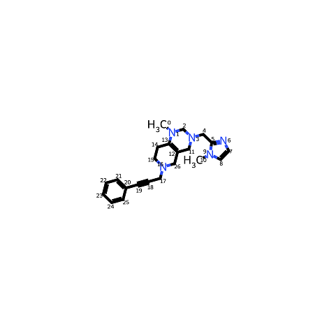 CN1CN(Cc2nccn2C)CC2=C1CCN(CC#Cc1ccccc1)C2